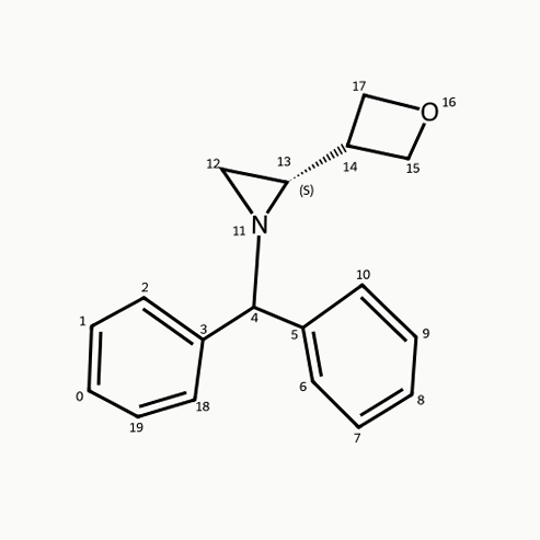 c1ccc(C(c2ccccc2)N2C[C@@H]2C2COC2)cc1